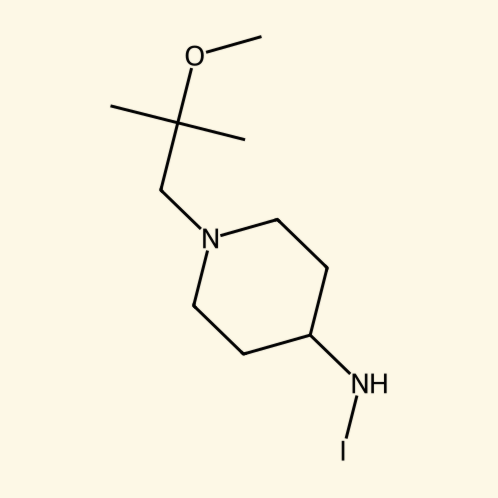 COC(C)(C)CN1CCC(NI)CC1